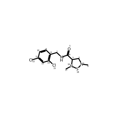 CN1CC(C(=O)NCc2ccc(Cl)cc2Cl)N(C)S1